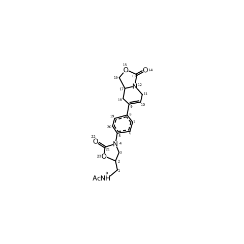 CC(=O)NCC1CN(c2ccc(C3=CCN4C(=O)OCC4C3)cc2)C(=O)O1